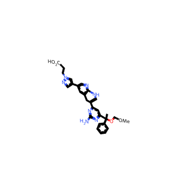 COCOC(C)(c1ccccc1)c1cc(C2=CNc3ncc(-c4cnn(CCC(=O)O)c4)cc3C2)nc(N)n1